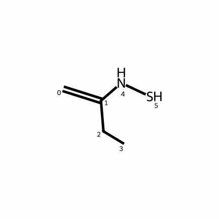 C=C(CC)NS